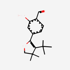 CC(C)(C)C1=C(c2ccc(C=O)c(O)c2)OCC1(C)C